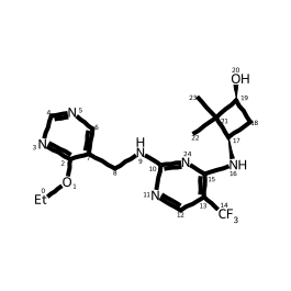 CCOc1ncncc1CNc1ncc(C(F)(F)F)c(N[C@@H]2C[C@H](O)C2(C)C)n1